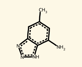 Cc1cc(N)c2[nH]nnc2c1